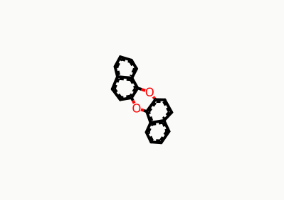 c1ccc2c3c(ccc2c1)Oc1c(ccc2ccccc12)O3